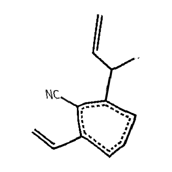 [CH2]C(C=C)c1cccc(C=C)c1C#N